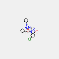 CCCc1ccccc1NC(=O)N(CCc1ccccc1)C1CCn2c1nc1cc(Cl)ccc1c2=O